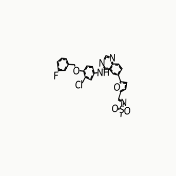 CS(=O)(=O)/N=C/c1ccc(-c2ccc3ncnc(Nc4ccc(OCc5cccc(F)c5)c(Cl)c4)c3c2)o1